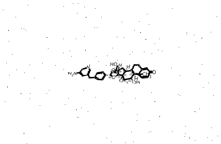 C[C@]12C=CC(=O)C=C1CCC1[C@@H]2[C@@H](O)C[C@@]2(C)[C@H]1C[C@H]1O[C@@H](c3ccc(Cc4cncc(N)c4)cc3)O[C@]12C(=O)CO